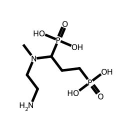 CN(CCN)C(CCP(=O)(O)O)P(=O)(O)O